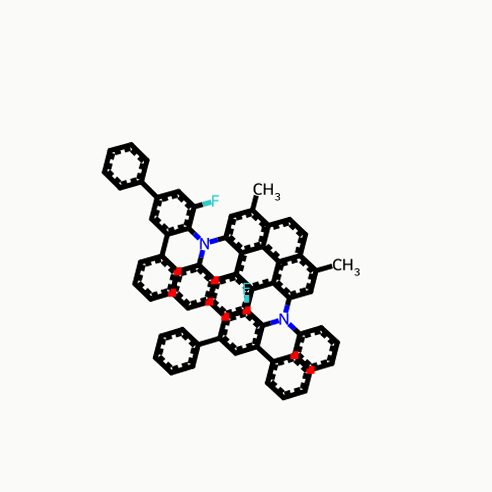 Cc1cc(N(c2ccccc2)c2c(F)cc(-c3ccccc3)cc2-c2ccccc2)c2c3ccccc3c3c(N(c4ccccc4)c4c(F)cc(-c5ccccc5)cc4-c4ccccc4)cc(C)c4ccc1c2c43